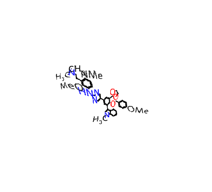 CNc1ccc(Nc2ncc(-c3cc(-c4cn(C)c5ccccc45)c(OCc4ccc(OC)cc4)c(C4OCCO4)c3)cn2)c(OC)c1CCN(C)C